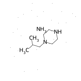 CC(C)CN1CCNCC1.N